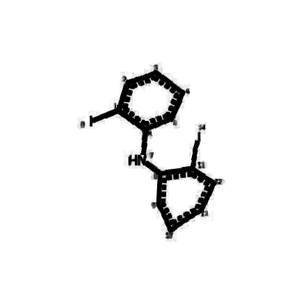 Ic1ccccc1Nc1ccccc1I